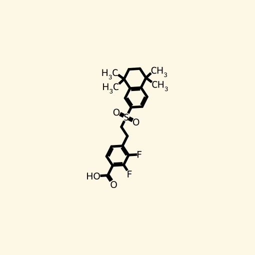 CC1(C)CCC(C)(C)c2cc(S(=O)(=O)CCc3ccc(C(=O)O)c(F)c3F)ccc21